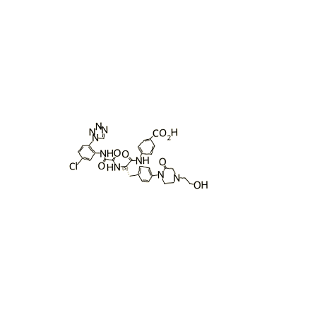 O=C(Nc1cc(Cl)ccc1-n1cnnn1)C(=O)N[C@@H](Cc1ccc(N2CCN(CCO)CC2=O)cc1)C(=O)Nc1ccc(C(=O)O)cc1